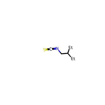 CCC(CC)CN=C=S